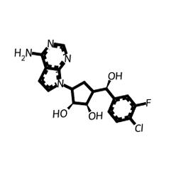 Nc1ncnc2c1ccn2C1CC([C@@H](O)c2ccc(Cl)c(F)c2)[C@@H](O)[C@H]1O